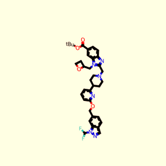 CC(C)(C)OC(=O)c1ccc2nc(CN3CCC(c4cccc(OCc5ccc6cnn(C(F)F)c6c5)n4)CC3)n(CC3CCO3)c2c1